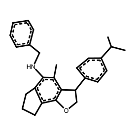 Cc1c(NCc2ccccc2)c2c(c3c1C(c1ccc(C(C)C)cc1)CO3)CCC2